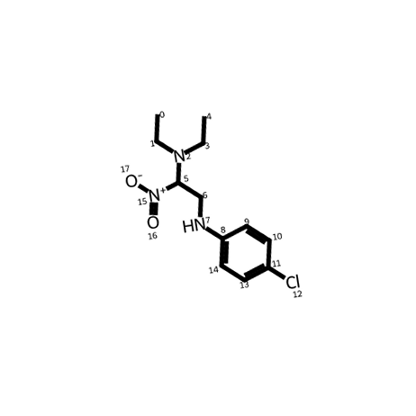 CCN(CC)C(CNc1ccc(Cl)cc1)[N+](=O)[O-]